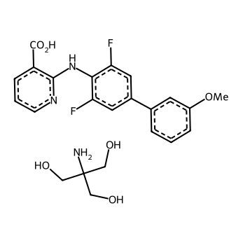 COc1cccc(-c2cc(F)c(Nc3ncccc3C(=O)O)c(F)c2)c1.NC(CO)(CO)CO